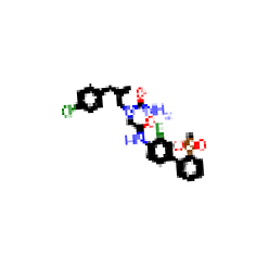 CC(Cc1ccc(Cl)cc1)CN(CC(=O)Nc1ccc(-c2ccccc2S(C)(=O)=O)cc1F)C(N)=O